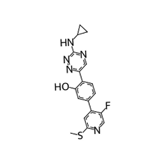 CSc1cc(-c2ccc(-c3cnc(NC4CC4)nn3)c(O)c2)c(F)cn1